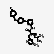 CC(C)CN[C@@H](Cc1cn(C)cn1)C(=O)Nc1cccc(-c2ccc(Oc3ccc(F)cc3)cc2)n1